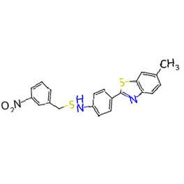 Cc1ccc2nc(-c3ccc(NSCc4cccc([N+](=O)[O-])c4)cc3)sc2c1